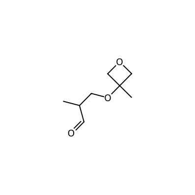 CC(C=O)COC1(C)COC1